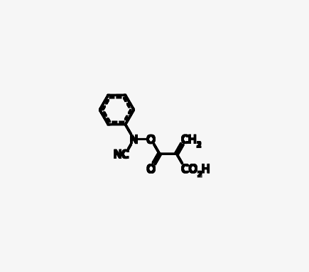 C=C(C(=O)O)C(=O)ON(C#N)c1ccccc1